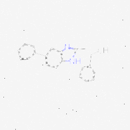 CC(Cc1nc2cc(-c3ccccc3)ccc2[nH]1)c1ccccc1